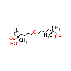 CC(C)(CO)CCCCOCCCCC(C)(C)C(=O)O